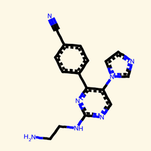 N#Cc1ccc(-c2nc(NCCN)ncc2-n2ccnc2)cc1